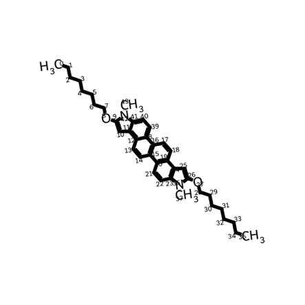 CCCCCCCCOc1cc2c3ccc4c(ccc5c4ccc4c5cc(OCCCCCCCC)n4C)c3ccc2n1C